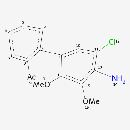 COc1c(-c2ccccc2C(C)=O)cc(Cl)c(N)c1OC